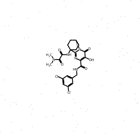 CN(C)C(=O)C(=O)NC12CCC(CC1)Cn1c2nc(C(=O)NCc2cc(Cl)cc(Cl)c2)c(O)c1=O